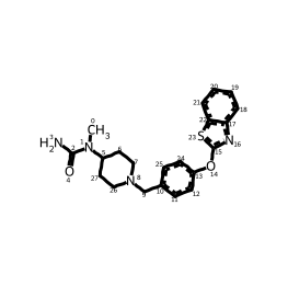 CN(C(N)=O)C1CCN(Cc2ccc(Oc3nc4ccccc4s3)cc2)CC1